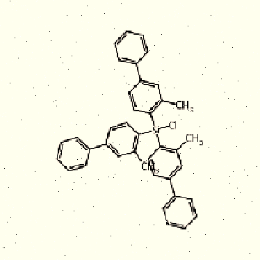 Cc1cc(-c2ccccc2)ccc1[Si](Cl)(c1ccc(-c2ccccc2)cc1C)c1ccc(-c2ccccc2)cc1C